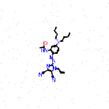 C=CCn1c(/N=N/c2ccc(N(CCCC)CCCC)cc2NC(C)=O)nc(C#N)c1C#N